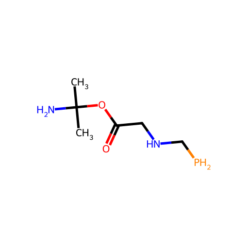 CC(C)(N)OC(=O)CNCP